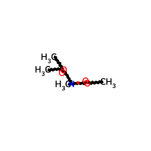 CCCCCCCCCOC(=O)CCCCCCCN(CC)CCCCCCCC(=O)OC(CCCCCCCC)CCCCCCCC